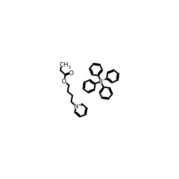 CCC(=O)OCCCC[n+]1ccccc1.c1ccc([B-](c2ccccc2)(c2ccccc2)c2ccccc2)cc1